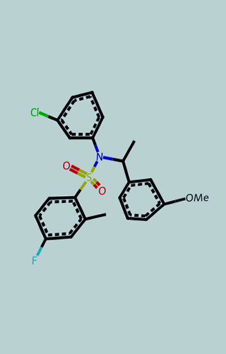 COc1cccc(C(C)N(c2cccc(Cl)c2)S(=O)(=O)c2ccc(F)cc2C)c1